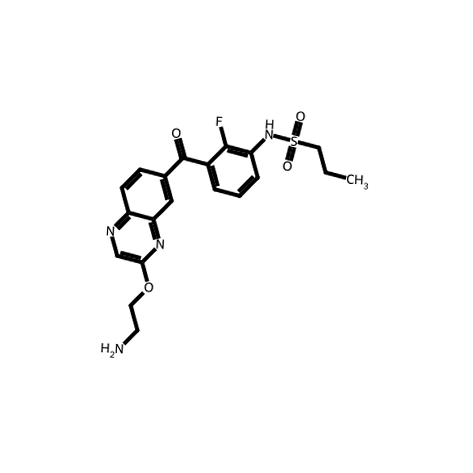 CCCS(=O)(=O)Nc1cccc(C(=O)c2ccc3ncc(OCCN)nc3c2)c1F